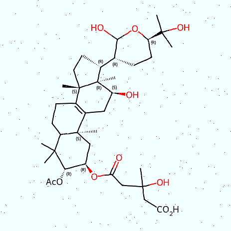 CC(=O)O[C@H]1[C@H](OC(=O)CC(C)(O)CC(=O)O)C[C@]2(C)C3=C(CCC2C1(C)C)[C@]1(C)CC[C@H]([C@H]2CC[C@H](C(C)(C)O)OC2O)[C@@]1(C)[C@@H](O)C3